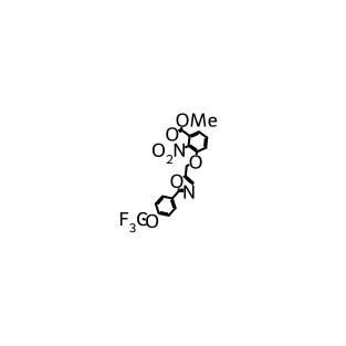 COC(=O)c1cccc(OCc2cnc(-c3ccc(OC(F)(F)F)cc3)o2)c1[N+](=O)[O-]